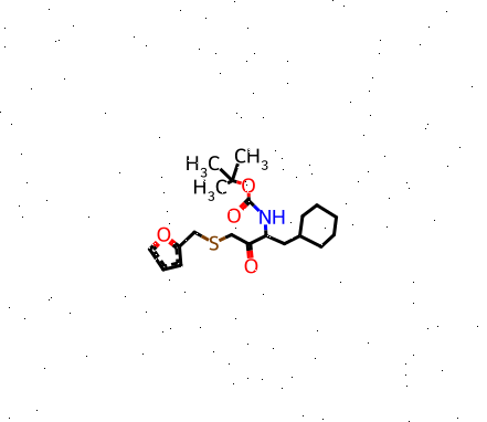 CC(C)(C)OC(=O)NC(CC1CCCCC1)C(=O)CSCc1ccco1